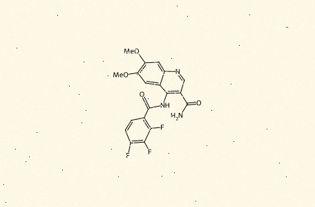 COc1cc2ncc(C(N)=O)c(NC(=O)c3ccc(F)c(F)c3F)c2cc1OC